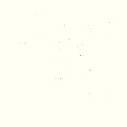 COc1cccc(Cl)c1-c1c(C)sc2c(C(N)C(N)Cc3ccccc3)nc(-c3ccncc3)nc12